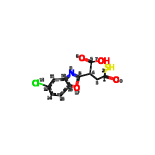 O=C(S)CC(C(=O)O)c1nc2cc(Cl)ccc2o1